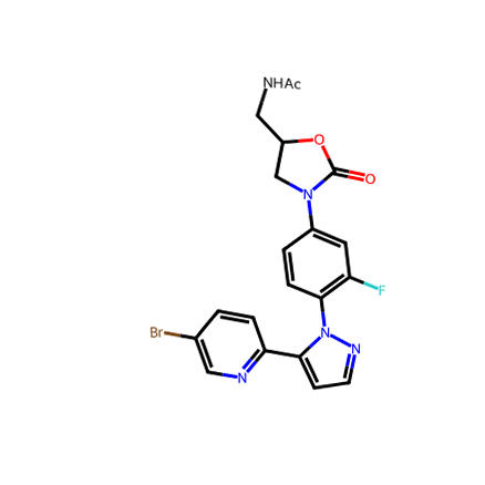 CC(=O)NCC1CN(c2ccc(-n3nccc3-c3ccc(Br)cn3)c(F)c2)C(=O)O1